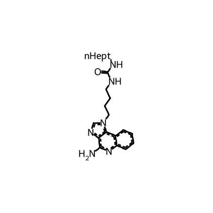 CCCCCCCNC(=O)NCCCCn1cnc2c(N)nc3ccccc3c21